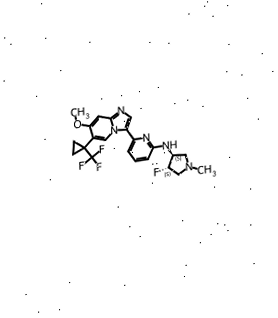 COc1cc2ncc(-c3cccc(N[C@H]4CN(C)C[C@@H]4F)n3)n2cc1C1(C(F)(F)F)CC1